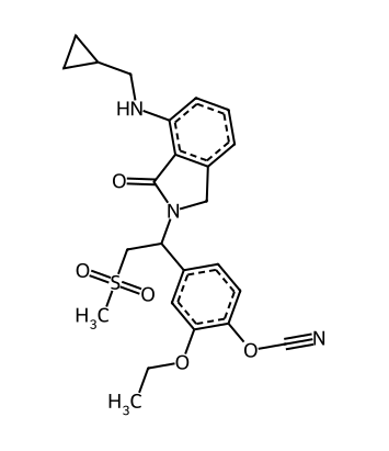 CCOc1cc(C(CS(C)(=O)=O)N2Cc3cccc(NCC4CC4)c3C2=O)ccc1OC#N